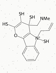 C=CC[N+]1(S)C2=C(OC(S)=C(S)C2(S)CNC)c2ccccc21